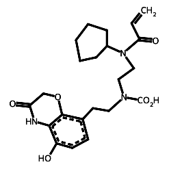 C=CC(=O)N(CCN(CCc1ccc(O)c2c1OCC(=O)N2)C(=O)O)C1CCCCC1